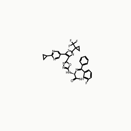 O=C1Nc2c(F)cccc2C(c2ccccc2)=N[C@@H]1Nc1nnc(-c2nc(C3(C(F)(F)F)CC3)sc2-c2cnc(C3CC3)nc2)o1